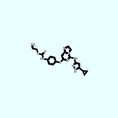 C=CCOC(=O)Nc1ccc(Sc2cc3nccn3c(Nc3cc(C4CC4)[nH]n3)n2)cc1